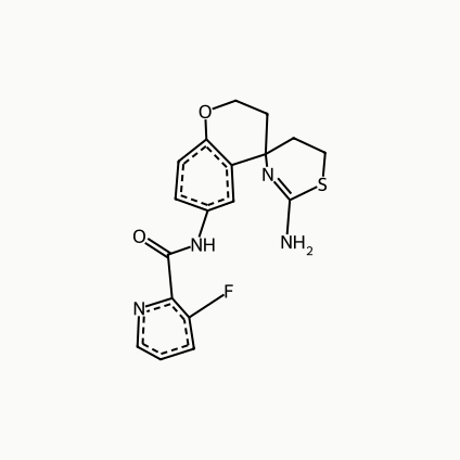 NC1=NC2(CCOc3ccc(NC(=O)c4ncccc4F)cc32)CCS1